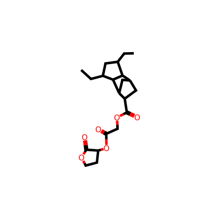 CCC1CC(CC)C2C3CC(CC3C(=O)OCC(=O)OC3CCOC3=O)C12